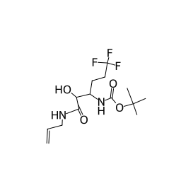 C=CCNC(=O)C(O)C(CCC(F)(F)F)NC(=O)OC(C)(C)C